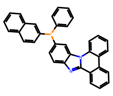 c1ccc(P(c2ccc3ccccc3c2)c2ccc3nc4c5ccccc5c5ccccc5n4c3c2)cc1